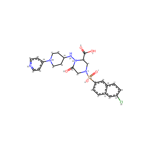 O=C(O)C1CN(S(=O)(=O)c2ccc3cc(Cl)ccc3c2)CC(=O)N1NC1CCN(c2ccncc2)CC1